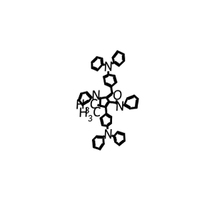 CC1(C)C(c2ccc(N(c3ccccc3)c3ccccc3)cc2)=C2C(=C(c3ccc(N(c4ccccc4)c4ccccc4)cc3)O/C2=N\c2ccccc2)/C1=N/c1ccccc1